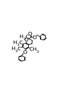 Cc1c(C)c2c(c(C)c1OCc1ccccc1)CCC(C)(C(=O)OCc1ccccc1)O2